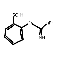 CCCC(=N)Oc1ccccc1S(=O)(=O)O